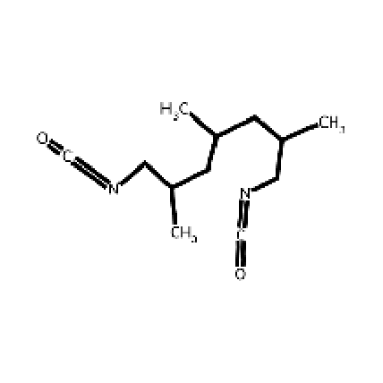 CC(CN=C=O)CC(C)CC(C)CN=C=O